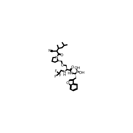 CC(C)CC(C)C(C#N)C(=O)N1CCC[C@@H]1COC[C@H](NCC(F)(F)F)C(=O)N[C@@H](Cc1coc2ccccc12)B(O)O